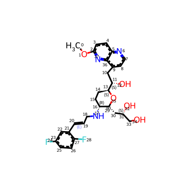 COc1ccc2nccc(C[C@H](O)[C@@H]3CC[C@@H](NC/C=C/c4cc(F)ccc4F)[C@@H](C[C@H](O)CO)O3)c2n1